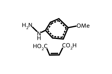 COc1ccc(NN)cc1.O=C(O)/C=C\C(=O)O